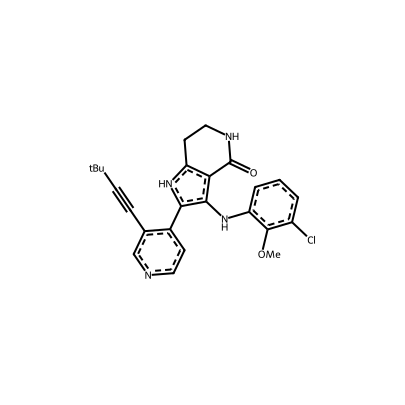 COc1c(Cl)cccc1Nc1c(-c2ccncc2C#CC(C)(C)C)[nH]c2c1C(=O)NCC2